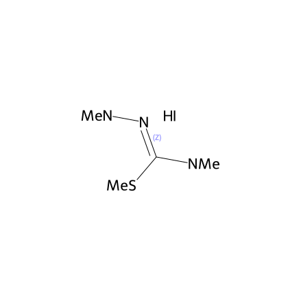 CN/N=C(/NC)SC.I